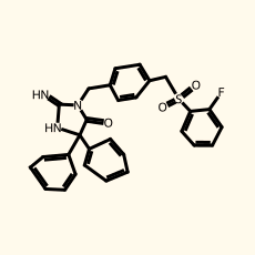 N=C1NC(c2ccccc2)(c2ccccc2)C(=O)N1Cc1ccc(CS(=O)(=O)c2ccccc2F)cc1